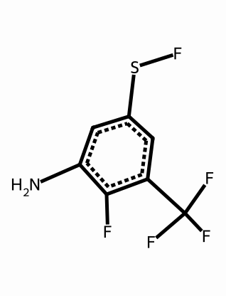 Nc1cc(SF)cc(C(F)(F)F)c1F